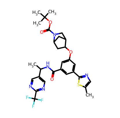 Cc1cnc(-c2cc(OC3CC4CC3CN4C(=O)OC(C)(C)C)cc(C(=O)NC(C)c3cnc(C(F)(F)F)nc3)c2)s1